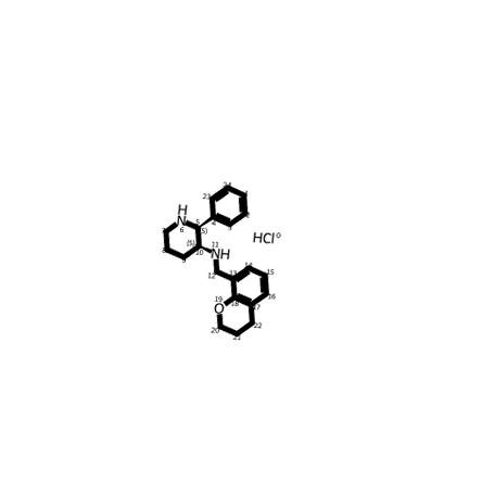 Cl.c1ccc([C@@H]2NCCC[C@@H]2NCc2cccc3c2OCCC3)cc1